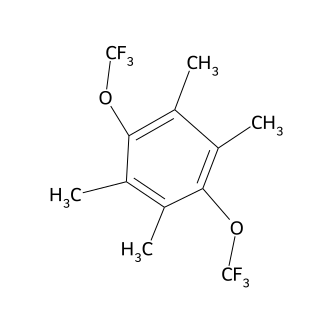 Cc1c(C)c(OC(F)(F)F)c(C)c(C)c1OC(F)(F)F